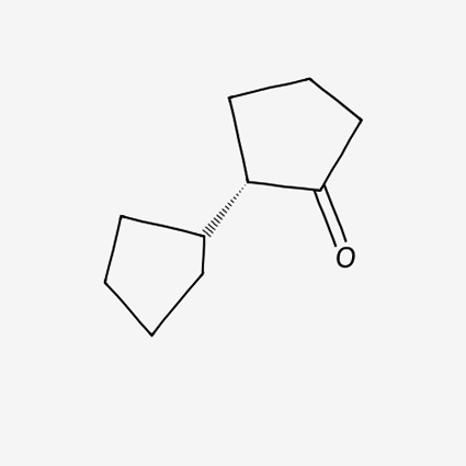 O=C1CCC[C@H]1C1CCCC1